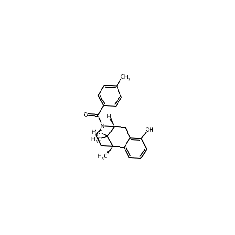 Cc1ccc(C(=O)N2CC[C@@]3(C)c4cccc(O)c4C[C@@H]2C3(C)C)cc1